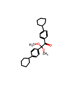 COC(OC)(C(=O)c1ccc(C2CCCCC2)cc1)c1ccc(C2CCCCC2)cc1